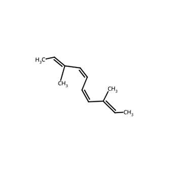 C/C=C(C)/C=C\C=C/C(C)=C/C